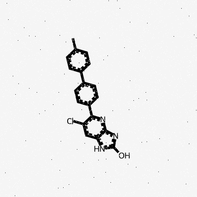 Cc1ccc(-c2ccc(-c3nc4nc(O)[nH]c4cc3Cl)cc2)cc1